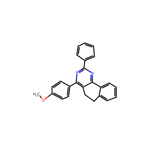 COc1ccc(-c2nc(-c3ccccc3)nc3c2CCc2ccccc2-3)cc1